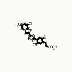 O=C(O)CCc1cc(Cl)c(-c2nnc(-c3cn4cc(C(F)(F)F)cc(Cl)c4n3)o2)cc1F